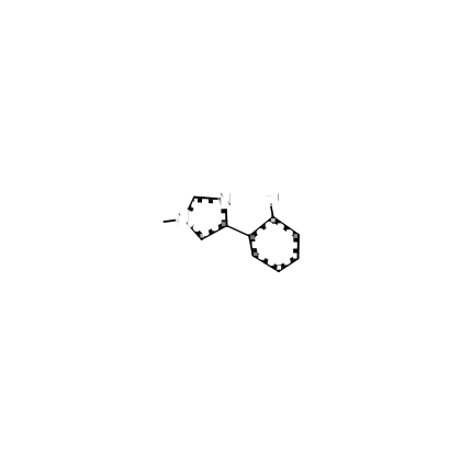 CCc1ccccc1-c1cn(C)cn1